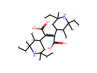 CCC1(C)CC(C(C(=O)O)=C(C(=O)O)C2CC(C)(CC)NC(C)(CC)C2C)C(C)C(C)(CC)N1